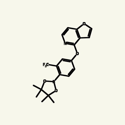 CC1(C)OB(c2ccc(Oc3nccc4occc34)cc2C(F)(F)F)OC1(C)C